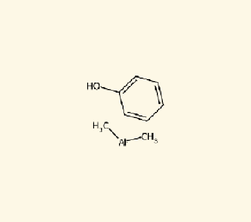 Oc1ccccc1.[CH3][Al][CH3]